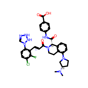 CN(C)[C@H]1CCN(c2cccc3c2CCN(C(=O)/C=C/c2c(N4C=NNN4)ccc(Cl)c2F)[C@@H]3C(=O)Nc2ccc(C(=O)O)cc2)C1